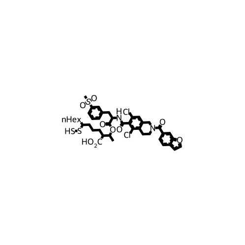 CCCCCCC(CCCC(C(=O)O)C(C)OC(=O)C(Cc1cccc(S(C)(=O)=O)c1)NC(=O)c1c(Cl)cc2c(c1Cl)CCN(C(=O)c1ccc3ccoc3c1)C2)SS